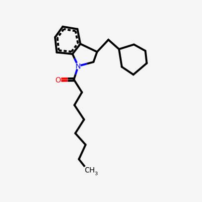 CCCCCCCC(=O)N1CC(CC2CCCCC2)c2ccccc21